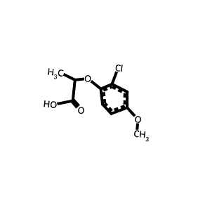 COc1ccc(OC(C)C(=O)O)c(Cl)c1